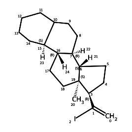 C=C(I)[C@@H]1CC[C@H]2[C@@H]3CCC4CCCC[C@@H]4[C@H]3CC[C@]12C